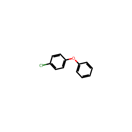 Clc1[c]cc(Oc2ccccc2)cc1